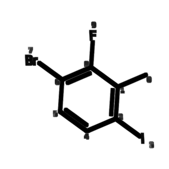 Cc1c(I)ccc(Br)c1F